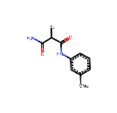 CCC(C(N)=O)C(=O)Nc1cccc(OC)c1